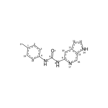 Cc1ccc(NC(=O)Nc2cc3cc[nH]c3cn2)cc1